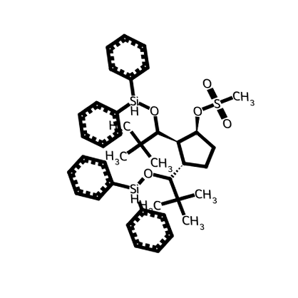 CC(C)(C)C(O[SiH](c1ccccc1)c1ccccc1)[C@H]1[C@@H](OS(C)(=O)=O)CC[C@@H]1C(O[SiH](c1ccccc1)c1ccccc1)C(C)(C)C